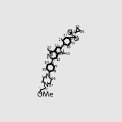 COCCN1CCN(c2ccc(-c3cc4c(cc(-c5ccc(S(=O)(=O)C6CC6)cc5)n4C)c(C)n3)cc2)CC1